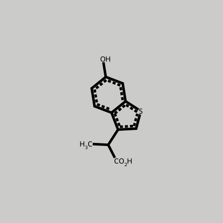 CC(C(=O)O)c1csc2cc(O)ccc12